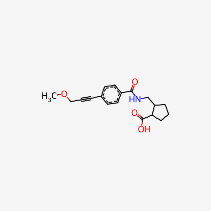 COCC#Cc1ccc(C(=O)NCC2CCCC2C(=O)O)cc1